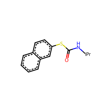 CC(C)NC(=O)Sc1ccc2ccccc2c1